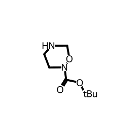 CC(C)(C)OC(=O)N1CCNCO1